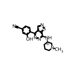 CN1CCC[C@@H](Nc2nnc(-c3ccc(C#N)cc3O)c3cnsc23)C1